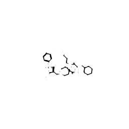 CCCCN1C(=O)[C@H](CC2CCCCC2)NC(=O)C12CCN(Cc1c(C)nn(-c3ccc(F)cc3)c1C)CC2